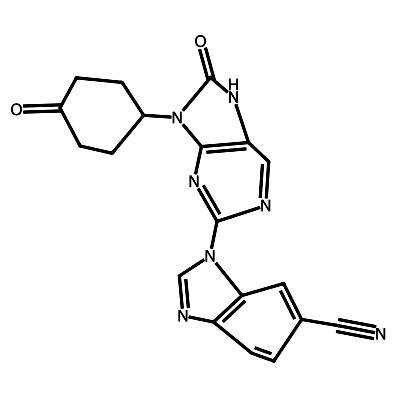 N#Cc1ccc2ncn(-c3ncc4[nH]c(=O)n(C5CCC(=O)CC5)c4n3)c2c1